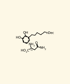 CCCCCCCCCCCCCCCc1cccc(O)c1O.NC(=O)C[C@H](N)C(=O)O